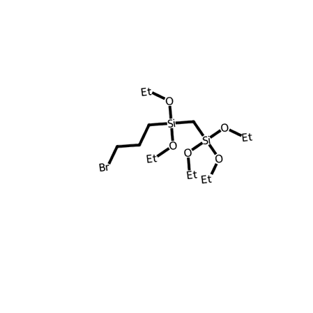 CCO[Si](CCCBr)(C[Si](OCC)(OCC)OCC)OCC